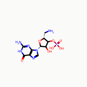 NC[C@H]1O[C@@H](n2cnc3c(=O)[nH]c(N)nc32)C(O)C1OP(=O)(O)O